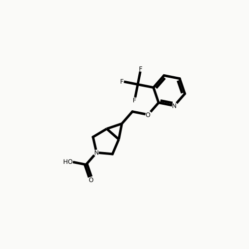 O=C(O)N1CC2C(COc3ncccc3C(F)(F)F)C2C1